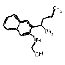 CCCC(C)c1cc2ccccc2cc1NCC